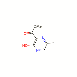 COC(=O)c1nc(C)cnc1O